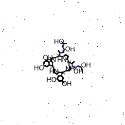 C=C(/C=C(O)\C=C(/C)O)[C@@]1(C)c2ccc([nH]2)[C@@](C)(C(=C)/C=C(O)\C=C(/C)O)c2ccc([nH]2)[C@@](C)(c2cc(O)cc(O)c2)c2ccc([nH]2)[C@@](C)(c2cc(O)cc(O)c2)c2ccc1[nH]2